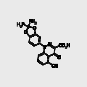 N#Cc1cccc2c1c(=O)c(C(=O)O)nn2-c1ccc2c(c1)OC(P)(P)O2